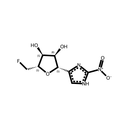 O=[N+]([O-])c1nc([C@@H]2O[C@H](CF)[C@@H](O)[C@H]2O)c[nH]1